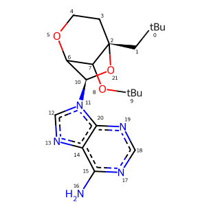 CC(C)(C)C[C@]12CCOC(C1OC(C)(C)C)[C@H](n1cnc3c(N)ncnc31)O2